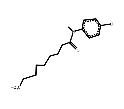 CN(C(=O)CCCCCCCC(=O)O)c1ccc(Cl)cc1